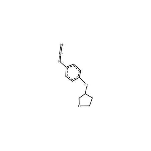 [N-]=[N+]=Nc1ccc(OC2CCOC2)cc1